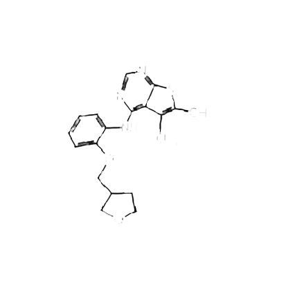 Cc1sc2ncnc(Nc3ccccc3OCC3CCOC3)c2c1C